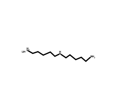 NCCCCCNCCCCCN.[LiH]